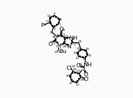 CCCCn1c(=O)n(Cc2ccccc2F)c(=O)c2[nH]c(Cc3ccc(NS(=O)(=O)c4c(Cl)cccc4Cl)cc3)nc21